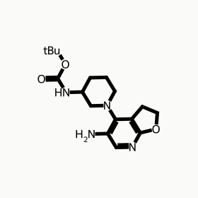 CC(C)(C)OC(=O)NC1CCCN(c2c(N)cnc3c2CCO3)C1